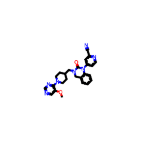 COc1cncnc1N1CCC(CN2Cc3ccccc3N(c3ccnc(C#N)c3)C2=O)CC1